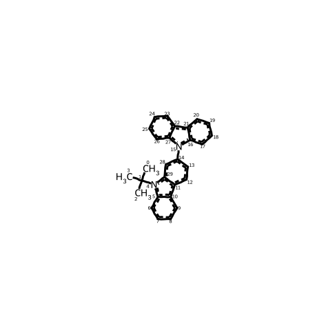 CC(C)(C)n1c2ccccc2c2ccc(-n3c4ccccc4c4ccccc43)cc21